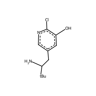 CC(C)(C)C(N)Cc1cnc(Cl)c(O)c1